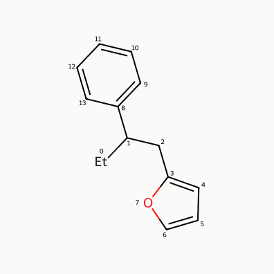 CCC(Cc1ccco1)c1ccccc1